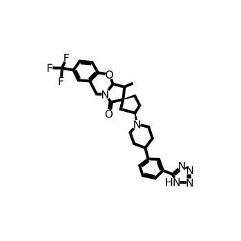 CC1C2Oc3ccc(C(F)(F)F)cc3CN2C(=O)[C@]12CC[C@@H](N1CCC(c3cccc(-c4nnn[nH]4)c3)CC1)C2